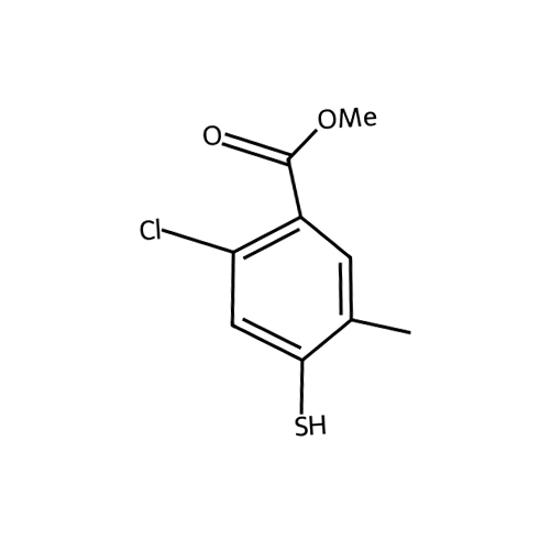 COC(=O)c1cc(C)c(S)cc1Cl